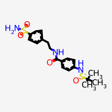 CC(C)(C)[S+]([O-])Nc1ccc(C(=O)NCCc2ccc(S(N)(=O)=O)cc2)cc1